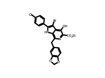 CCOC(=O)c1nc(Cc2ccc3c(c2)OCO3)c2[nH]c(-c3ccc(Cl)cc3)c(Br)c2c1O